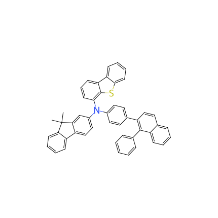 CC1(C)c2ccccc2-c2ccc(N(c3ccc(-c4ccc5ccccc5c4-c4ccccc4)cc3)c3cccc4c3sc3ccccc34)cc21